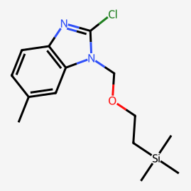 Cc1ccc2nc(Cl)n(COCC[Si](C)(C)C)c2c1